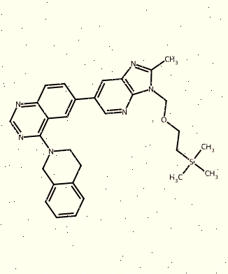 Cc1nc2cc(-c3ccc4ncnc(N5CCc6ccccc6C5)c4c3)cnc2n1COCC[Si](C)(C)C